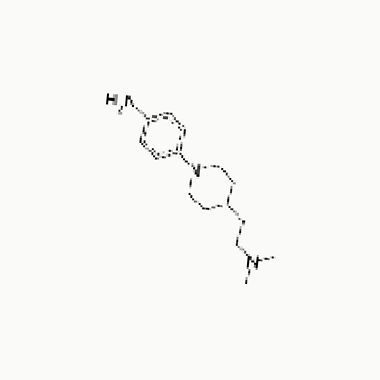 CN(C)CCC1CCN(c2ccc(N)cc2)CC1